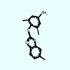 Cc1ccc2sc(Sc3c(C)cc(N)cc3C)nc2c1